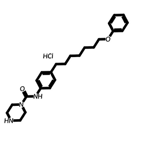 Cl.O=C(Nc1ccc(CCCCCCCOc2ccccc2)cc1)N1CCNCC1